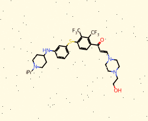 CC(C)N1CCC(Nc2cccc(Sc3ccc(C(=O)C=CN4CCN(CCO)CC4)c(C(F)(F)F)c3C(F)(F)F)c2)CC1